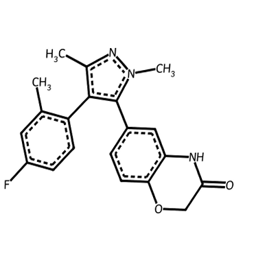 Cc1cc(F)ccc1-c1c(C)nn(C)c1-c1ccc2c(c1)NC(=O)CO2